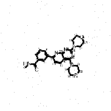 CNC(=O)c1cccc(-c2ccc3c(N4CCOCC4)nc(N4CCOCC4)nc3n2)c1